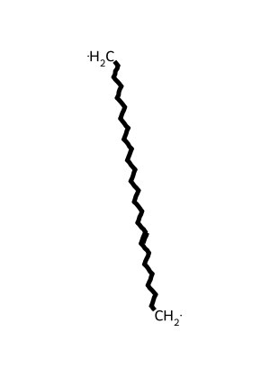 [CH2]CCCCCCC=CCCCCCCCCCCCCCCCC[CH2]